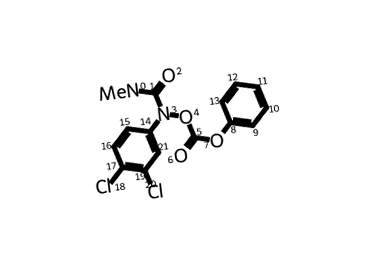 CNC(=O)N(OC(=O)Oc1ccccc1)c1ccc(Cl)c(Cl)c1